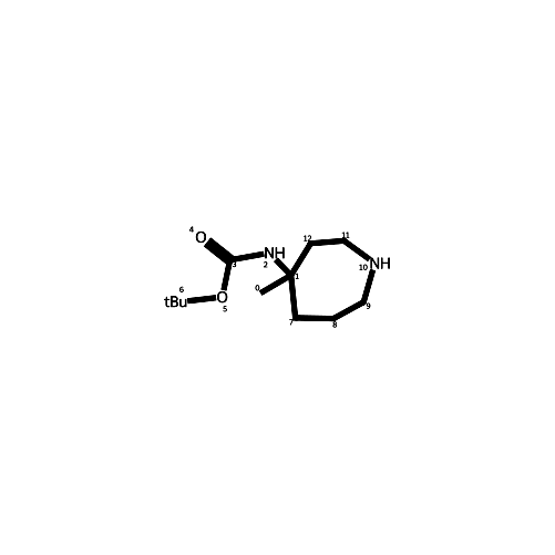 CC1(NC(=O)OC(C)(C)C)CCCNCC1